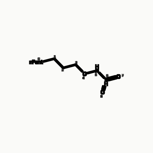 CCCCCCCCON[SH](=O)=O